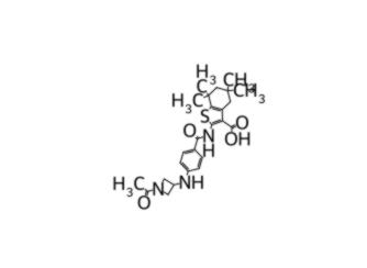 CC(=O)N1CC(Nc2ccc(C(=O)Nc3sc4c(c3C(=O)O)CC(C)(C)CC4(C)C)cc2)C1